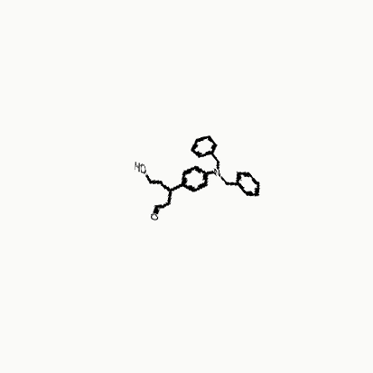 O=CCC(CCO)c1ccc(N(Cc2ccccc2)Cc2ccccc2)cc1